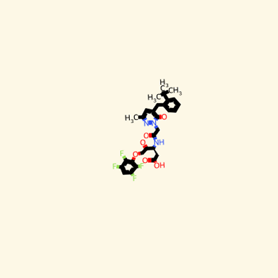 Cc1cc(Cc2ccccc2C(C)(C)C)c(=O)n(CC(=O)N[C@@H](CC(=O)O)C(=O)COc2c(F)c(F)cc(F)c2F)n1